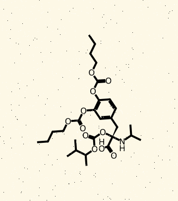 CCCCOC(=O)Oc1ccc(C[C@](NC(C)C)(OC(=O)OC(C)C(C)C)C(=O)O)cc1OC(=O)OCCCC